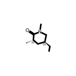 CC[C@H]1C[C@H](C)C(=O)N(C)C1